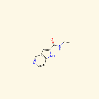 CCNC(=O)c1cc2cnccc2[nH]1